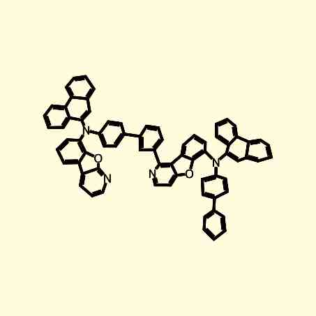 c1ccc(-c2ccc(N(c3cc4ccccc4c4ccccc34)c3cccc4c3oc3ccnc(-c5cccc(-c6ccc(N(c7cc8ccccc8c8ccccc78)c7cccc8c7oc7ncccc78)cc6)c5)c34)cc2)cc1